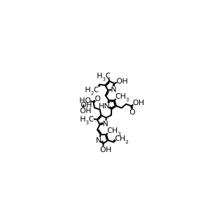 C=CC1=C(C)C(O)=NC1=Cc1[nH]c(CC2N=C(C=C3N=C(O)C(C=C)=C3C)C(C)=C2CCC(=O)O)c(CCC(=O)O)c1C.OO